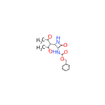 CC(=O)C(C(C)=O)C1NC(=O)C1NC(=O)OCc1ccccc1